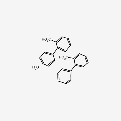 O.O=C(O)c1ccccc1-c1ccccc1.O=C(O)c1ccccc1-c1ccccc1